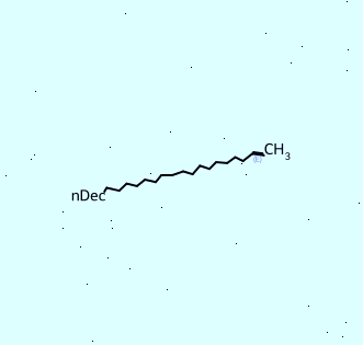 C/C=C/CCCCCCCCCCCCCCCCCCCCCCCCCC